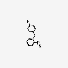 Fc1ccc(Cc2ccccc2P=S)cc1